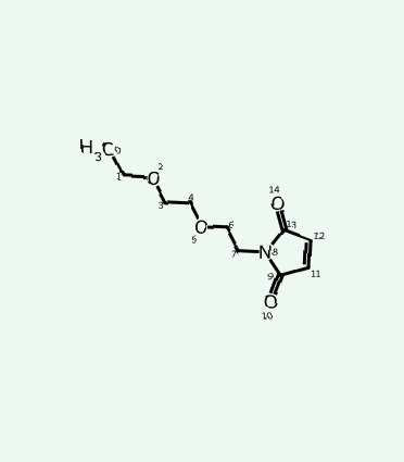 CCOCCOCCN1C(=O)C=CC1=O